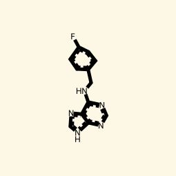 Fc1ccc(CNc2ncnc3[nH]cnc23)cc1